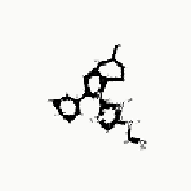 CC1CCc2c(cc(-c3ccccc3)n2-c2nc(OC=O)cs2)C1